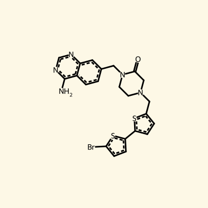 Nc1ncnc2cc(CN3CCN(Cc4ccc(-c5ccc(Br)s5)s4)CC3=O)ccc12